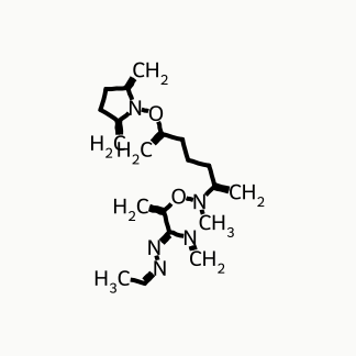 C=N/C(=N\N=C/C)C(=C)ON(C)C(=C)CCCC(=C)ON1C(=C)CCC1=C